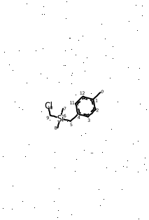 Cc1ccc(C[Si](C)(C)CCl)cc1